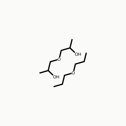 CC(O)COCC(C)O.CCCOCCC